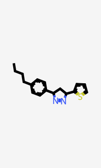 CCCCc1ccc(C2CC(c3cccs3)N=N2)cc1